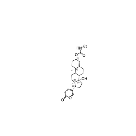 CCNC(=O)O[C@@H]1C=C2CCC3C(CC[C@]4(C)[C@@H](c5ccc(=O)oc5)CC[C@]34O)[C@@]2(C)CC1